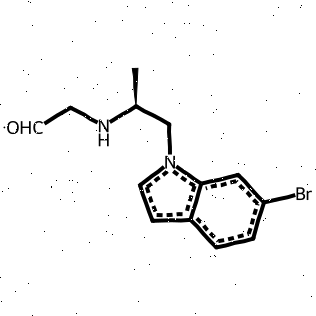 C[C@@H](Cn1ccc2ccc(Br)cc21)NC[C]=O